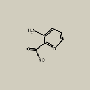 Nc1cccnc1C(=O)N=O